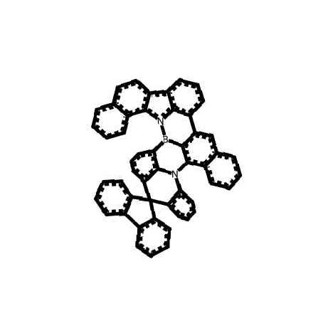 c1ccc2c(c1)-c1ccccc1C21c2ccccc2N2c3c(cccc31)B1c3c(cc4ccccc4c32)-c2cccc3c4ccc5ccccc5c4n1c23